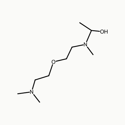 CC(O)N(C)CCOCCN(C)C